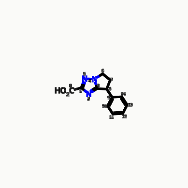 O=C(O)c1nc2n(n1)CCC2c1ccccc1